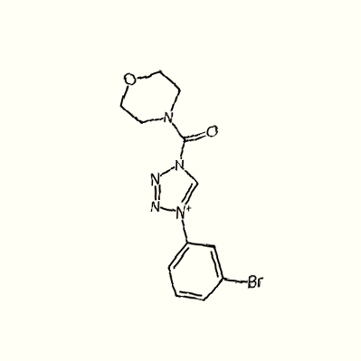 O=C(N1CCOCC1)n1c[n+](-c2cccc(Br)c2)nn1